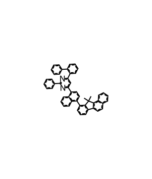 CC1(C)c2c(cccc2-c2ccc(-c3cc(-c4ccccc4-c4ccccc4)nc(-c4ccccc4)n3)c3ccccc23)-c2ccc3ccccc3c21